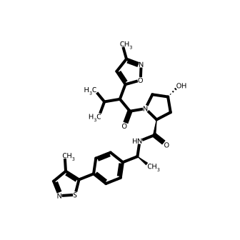 Cc1cc(C(C(=O)N2C[C@H](O)C[C@H]2C(=O)N[C@@H](C)c2ccc(-c3sncc3C)cc2)C(C)C)on1